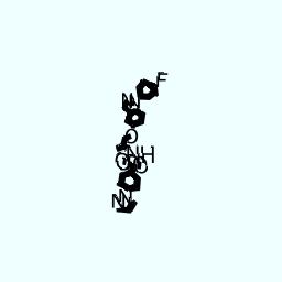 CC(COc1ccc2c(cnn2-c2ccc(F)cc2)c1)NS(=O)(=O)c1ccc(-n2cccn2)cc1